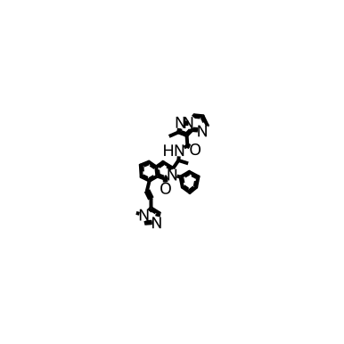 Cc1nn2cccnc2c1C(=O)NC(C)c1cc2cccc(C#Cc3cncn3C)c2c(=O)n1-c1ccccc1